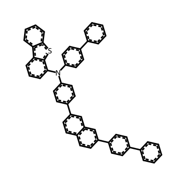 c1ccc(-c2ccc(-c3ccc4ccc(-c5ccc(N(c6ccc(-c7ccccc7)cc6)c6cccc7c6sc6ccccc67)cc5)cc4c3)cc2)cc1